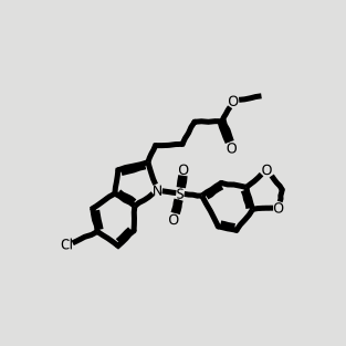 COC(=O)CCCc1cc2cc(Cl)ccc2n1S(=O)(=O)c1ccc2c(c1)OCO2